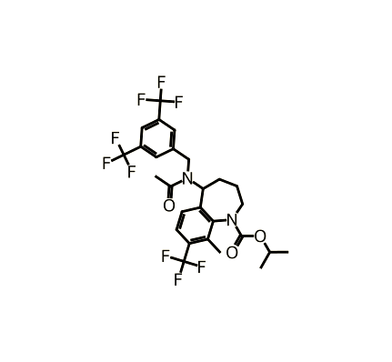 CC(=O)N(Cc1cc(C(F)(F)F)cc(C(F)(F)F)c1)C1CCCN(C(=O)OC(C)C)c2c1ccc(C(F)(F)F)c2C